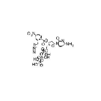 [N-]=[N+]=NCc1cc([N+](=O)[O-])ccc1C(=O)O[C@@H]1C[C@H](n2ccc(N)nc2=O)O[C@@H]1COP(=O)(O)OP(=O)(O)OP(=O)(O)O